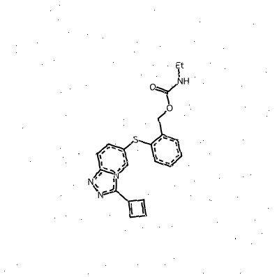 CCNC(=O)OCc1ccccc1Sc1ccc2nnc(C3=CC=C3)n2c1